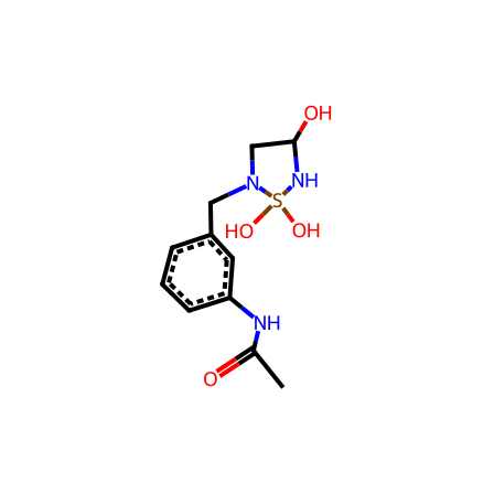 CC(=O)Nc1cccc(CN2CC(O)NS2(O)O)c1